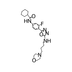 O=C(Nc1ccc(-c2nnc(NCCCCN3CCOCC3)o2)c(F)c1)C1CCCCC1